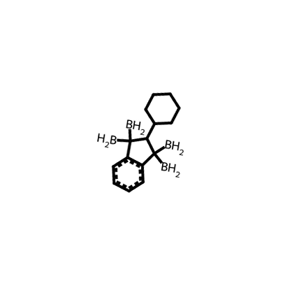 BC1(B)c2ccccc2C(B)(B)C1C1CCCCC1